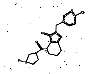 O=C([C@H]1CCCc2nn(Cc3ccc(Cl)nc3)c(=O)n21)N1CC[C@H](F)C1